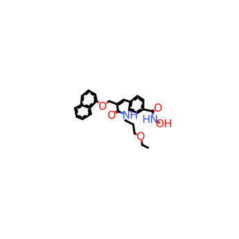 CCOCCCNC(=O)C(=Cc1ccc(C(=O)NO)cc1)COc1cccc2ccccc12